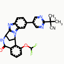 CC(C)(C#N)c1ncc(-c2ccc3nc4n(c3c2)C2CC4NC(=O)c3cccc(OC(F)F)c32)cn1